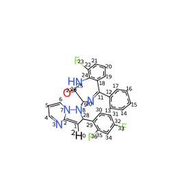 [2H]C1=C2N=CC=CN2N([C@@H]2N=C(c3ccccc3)c3cccc(F)c3NC2=O)C1c1ccc(F)cc1F